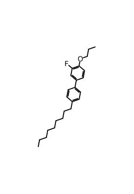 CCCCCCCCCc1ccc(-c2ccc(OCCC)c(F)c2)cc1